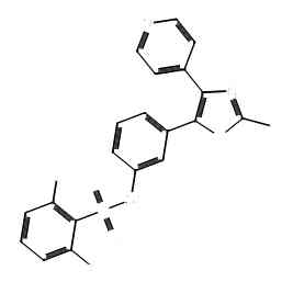 Cc1nc(-c2ccncc2)c(-c2cccc(NS(=O)(=O)c3c(F)cccc3F)c2)s1